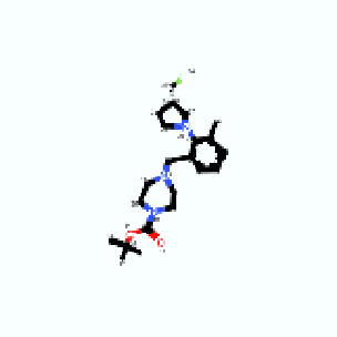 Cc1cccc(CN2CCN(C(=O)OC(C)(C)C)CC2)c1N1CC[C@H](CF)C1